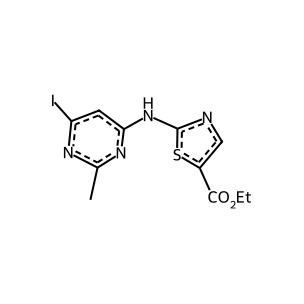 CCOC(=O)c1cnc(Nc2cc(I)nc(C)n2)s1